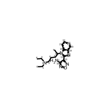 CCN(CC)CCCC(C)n1c(-c2nonc2N)nc2cnccc21